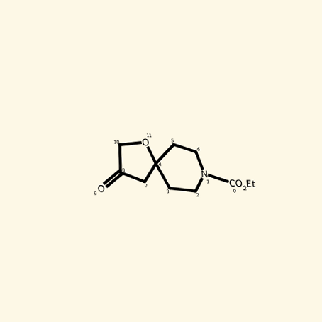 CCOC(=O)N1CCC2(CC1)CC(=O)CO2